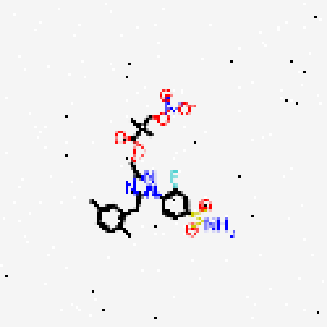 Cc1ccc(C)c(Cc2nc(COC(=O)C(C)(C)CO[N+](=O)[O-])nn2-c2ccc(S(N)(=O)=O)cc2F)c1